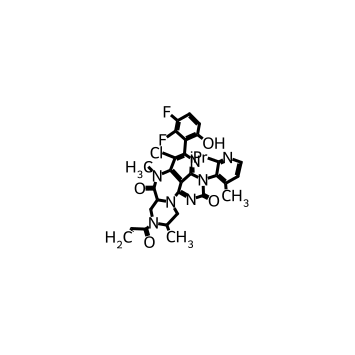 C=CC(=O)N1CC2C(=O)N(C)c3c(Cl)c(-c4c(O)ccc(F)c4F)nc4c3c(nc(=O)n4-c3c(C)ccnc3C(C)C)N2CC1C